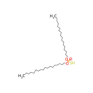 CCCCCCCCCCCCCCCCCCOP(=O)(S)OCCCCCCCCCCCCCCCCCC